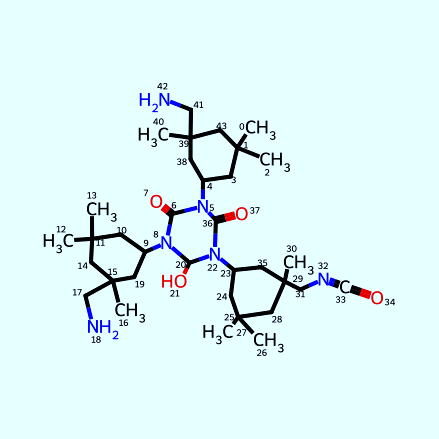 CC1(C)CC(N2C(=O)N(C3CC(C)(C)CC(C)(CN)C3)C(O)N(C3CC(C)(C)CC(C)(CN=C=O)C3)C2=O)CC(C)(CN)C1